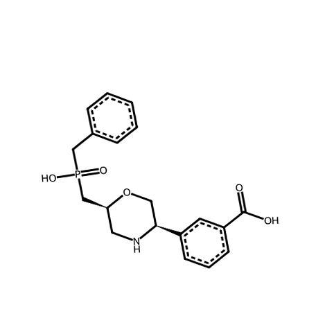 O=C(O)c1cccc([C@@H]2CO[C@H](CP(=O)(O)Cc3ccccc3)CN2)c1